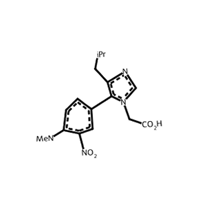 CNc1ccc(-c2c(CC(C)C)ncn2CC(=O)O)cc1[N+](=O)[O-]